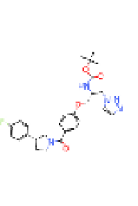 CC(C)(C)OC(=O)N[C@@H](COc1ccc(C(=O)N2CC[C@H](c3ccc(F)cc3)C2)cc1)Cn1ccnn1